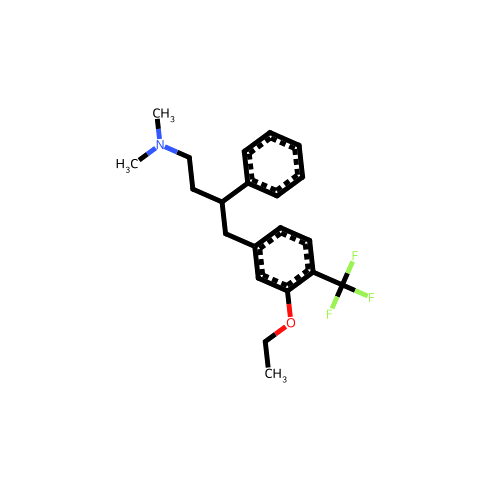 CCOc1cc(CC(CCN(C)C)c2ccccc2)ccc1C(F)(F)F